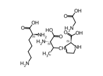 CC(C)[C@H](N)C(=O)O.NCC(=O)O.NCCCC[C@H](N)C(=O)O.O=C(O)[C@@H]1CCCN1